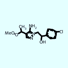 COOC(C)c1cnn(CC(O)c2ccc(Cl)cc2)c1N